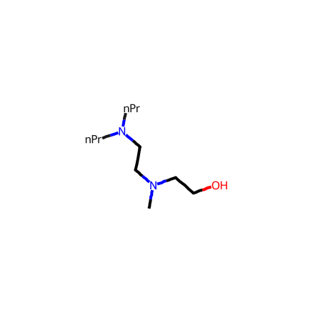 CCCN(CCC)CCN(C)CCO